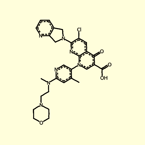 Cc1cc(N(C)CCN2CCOCC2)ncc1-n1cc(C(=O)O)c(=O)c2cc(Cl)c(N3Cc4cccnc4C3)nc21